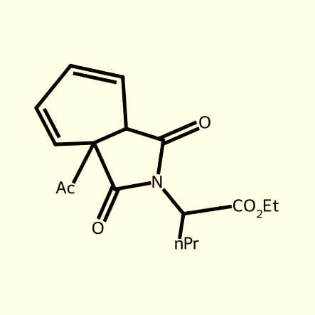 CCCC(C(=O)OCC)N1C(=O)C2C=CC=CC2(C(C)=O)C1=O